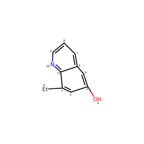 CCc1cc(O)cc2cccnc12